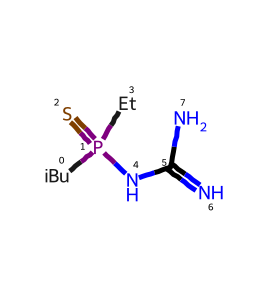 CCC(C)P(=S)(CC)NC(=N)N